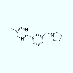 Cc1cnc(-c2cccc(CN3CCCC3)c2)nc1